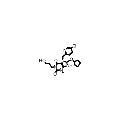 Cn1c2c(c(=O)n(CCCO)c1=O)N(Cc1ccc(Cl)cn1)C(OC1CCCC1)N2